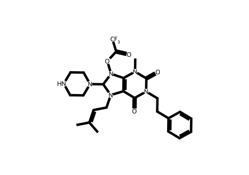 CC(C)=CCN1c2c(n(C)c(=O)n(CCc3ccccc3)c2=O)N(OC(=O)C(F)(F)F)C1N1CCNCC1